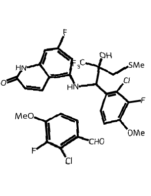 COc1ccc(C(Nc2cc(F)cc3[nH]c(=O)ccc23)C(O)(CSC)C(F)(F)F)c(Cl)c1F.COc1ccc(C=O)c(Cl)c1F